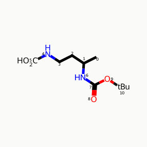 CC(CCNC(=O)O)NC(=O)OC(C)(C)C